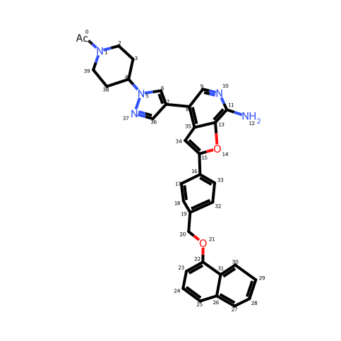 CC(=O)N1CCC(n2cc(-c3cnc(N)c4oc(-c5ccc(COc6cccc7ccccc67)cc5)cc34)cn2)CC1